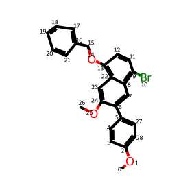 COc1ccc(-c2cc3c(Br)ccc(OCc4ccccc4)c3cc2OC)cc1